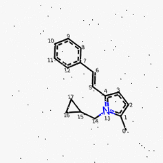 Cc1ccc(/C=C/c2ccccc2)n1CC1CC1